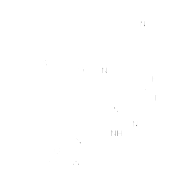 Cc1cc2c(-c3nc(N[C@H]4CCCN(C(=O)OC(C)(C)C)C4)ncc3C(F)(F)F)cn(COCC[Si](C)(C)C)c2cc1C#N